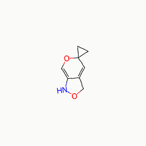 C1=C2CONC2=COC12CC2